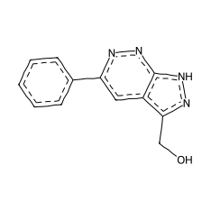 OCc1n[nH]c2nnc(-c3ccccc3)cc12